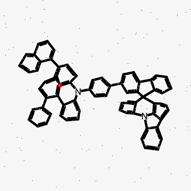 c1ccc(-c2ccccc2-c2ccccc2N(c2ccc(-c3ccc4c(c3)C3(c5ccccc5-4)c4ccccc4-n4c5ccccc5c5cccc3c54)cc2)c2ccc(-c3cccc4ccccc34)cc2)cc1